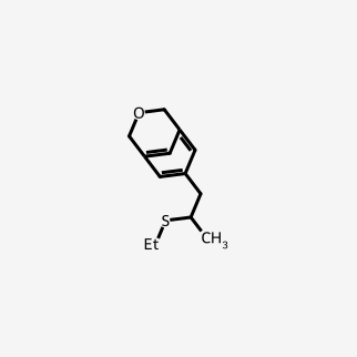 CCSC(C)Cc1cc2cc(c1)COC2